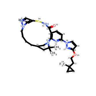 Cc1c2cnn1CCCCC1CN(c3nc(-n4ccc(OCCC5(C(F)(F)F)CC5)n4)ccc3C(=O)NS2)C(C)(C)C1